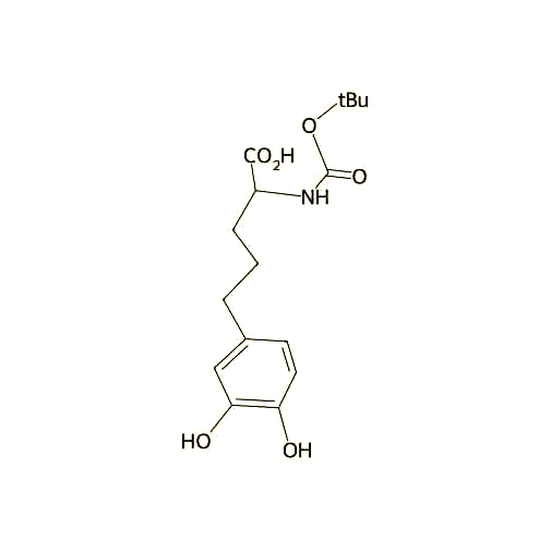 CC(C)(C)OC(=O)NC(CCCc1ccc(O)c(O)c1)C(=O)O